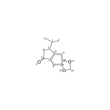 CC(C)C1CC(=O)c2cc3c(cc21)OCO3